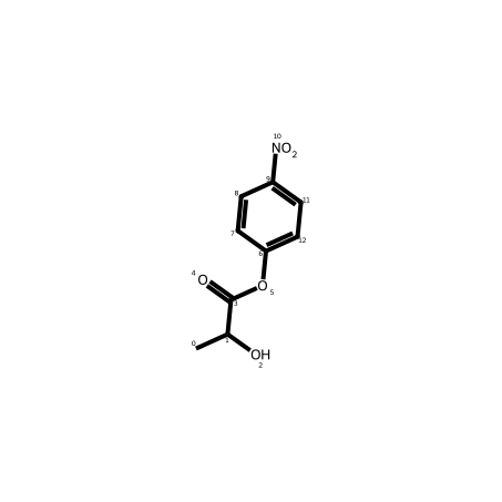 CC(O)C(=O)Oc1ccc([N+](=O)[O-])cc1